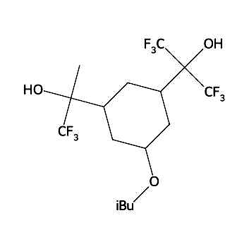 CCC(C)OC1CC(C(C)(O)C(F)(F)F)CC(C(O)(C(F)(F)F)C(F)(F)F)C1